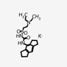 CCN(CC)CCS(=O)(=O)NC(=O)Nc1c2c(cc3c1CCC3)CCC2.[K]